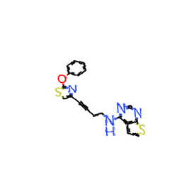 C(#Cc1csc(Oc2ccccc2)n1)CCNc1ncnc2sccc12